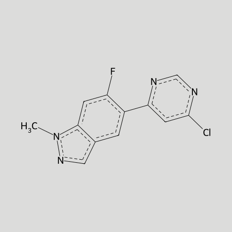 Cn1ncc2cc(-c3cc(Cl)ncn3)c(F)cc21